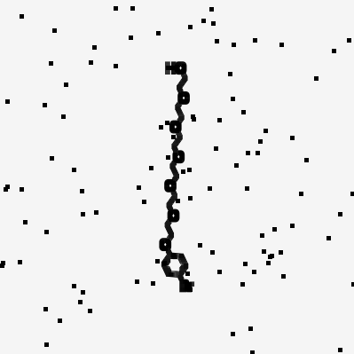 OCCOCCOCCOCCOCCOCCOc1ccc(Br)cc1